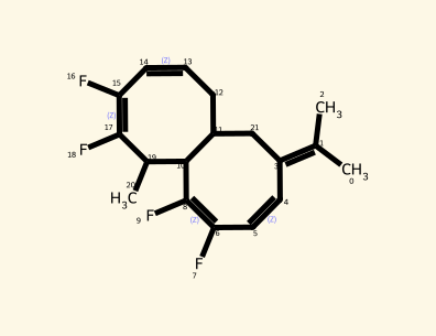 CC(C)=C1/C=C\C(F)=C(\F)C2C(C/C=C\C(F)=C(\F)C2C)C1